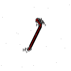 CCNC(=O)OCCOOOOOOOOOOOOOOOOOOOOOOOOOOOOOOOOOOOOOOOOOOOO/C=C\NC(=O)/C=C(C)/C=C/C=C(C)/C=C/C1=C(C)CCCC1(C)C